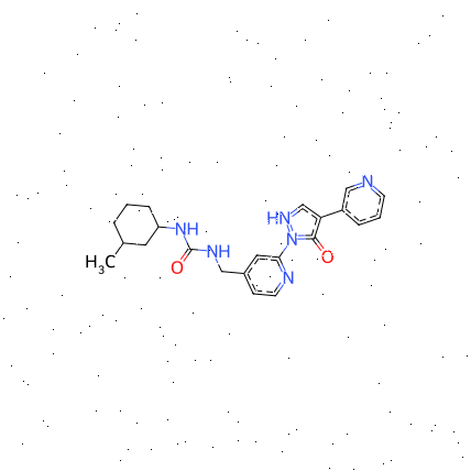 CC1CCCC(NC(=O)NCc2ccnc(-n3[nH]cc(-c4cccnc4)c3=O)c2)C1